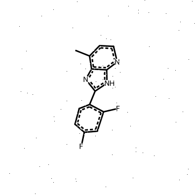 Cc1ccnc2[nH]c(-c3ccc(F)cc3F)nc12